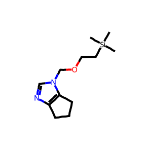 C[Si](C)(C)CCOCn1cnc2c1CCC2